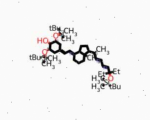 CCC(/C=C/C=C/[C@@H](C)C1CCC2/C(=C/C=C3C[C@@H](O[Si](C)(C)C(C)(C)C)C(O)[C@H](O[Si](C)(C)C(C)(C)C)C3)CCCC21C)(CC)O[Si](C)(C)C(C)(C)C